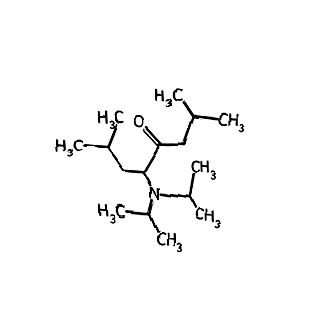 CC(C)CC(=O)C(CC(C)C)N(C(C)C)C(C)C